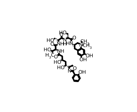 C[C@@H](O)[C@H](NC(=O)C[C@H](O)CC(O)[C@@H]1COC(c2ccccc2O)=N1)C(=O)N[C@H](CO)C(=O)N[C@@H](CO)C(=O)N[C@H]1Cc2cc(O)c(O)cc2[N+](C)(C)C1